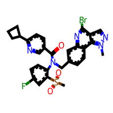 Cn1ncc2c(Br)nc3cc(CN(C(=O)c4ccc(C5CCC5)nc4)c4ccc(F)cc4S(C)(=O)=O)ccc3c21